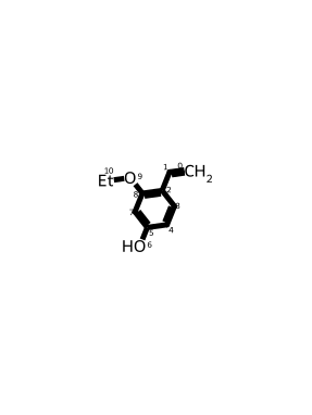 C=Cc1ccc(O)cc1OCC